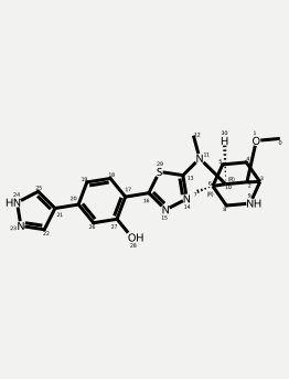 COC1C2CC[C@](C)(CN2)[C@H]1N(C)c1nnc(-c2ccc(-c3cn[nH]c3)cc2O)s1